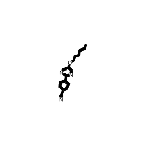 C/C=C/CCCOc1cnc(-c2ccc(C#N)cc2)nc1